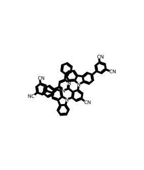 N#Cc1cc(C#N)cc(-c2ccc3c(c2)c2ccccc2n3-c2cc(C#N)cc(-n3c4ccccc4c4cc(-c5cc(C#N)cc(C#N)c5)ccc43)c2-c2nc(-c3ccccc3)cc(-c3ccccc3)n2)c1